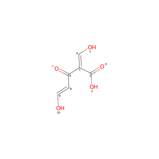 O=C(O)C(=CO)C(=O)C=CO